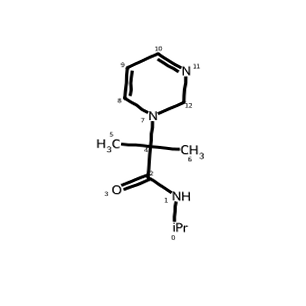 CC(C)NC(=O)C(C)(C)N1C=CC=NC1